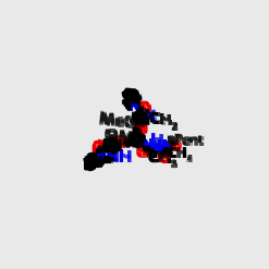 C=Nc1cc(OCc2cc(COc3cc4c(cc3OC)C(=O)N3c5ccccc5CC3CN4)cc(NC(=O)C(C)NC(=O)[C@H](C)NC(=O)CCCCC)c2)c(OC)cc1C(=O)N1CCc2ccccc21